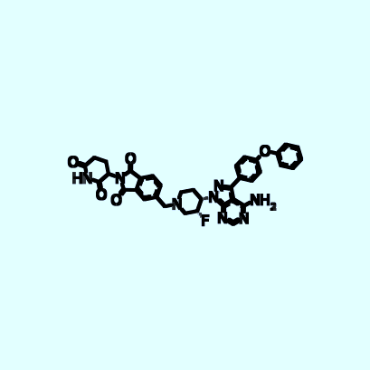 Nc1ncnc2c1c(-c1ccc(Oc3ccccc3)cc1)nn2[C@H]1CCN(Cc2ccc3c(c2)C(=O)N(C2CCC(=O)NC2=O)C3=O)C[C@H]1F